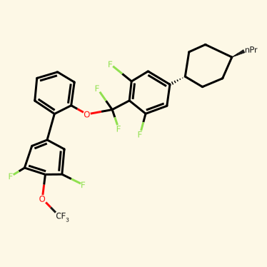 CCC[C@H]1CC[C@H](c2cc(F)c(C(F)(F)Oc3ccccc3-c3cc(F)c(OC(F)(F)F)c(F)c3)c(F)c2)CC1